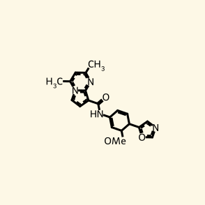 COC1C=C(NC(=O)c2ccn3c(C)cc(C)nc23)C=CC1c1cnco1